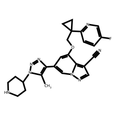 Cc1c(-c2cc(OCC3(c4ccc(F)cn4)CC3)c3c(C#N)cnn3c2)nnn1C1CCNCC1